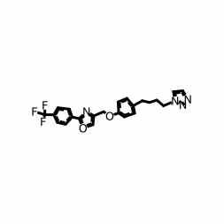 FC(F)(F)c1ccc(-c2nc(COc3ccc(CCCCn4ccnn4)cc3)co2)cc1